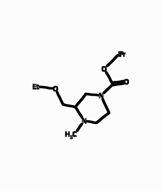 CCOCC1CN(C(=O)OC(C)C)CCN1C